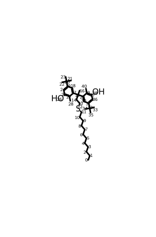 CCCCCCCCCCCCSCCC(C)(c1cc(C(C)(C)C)cc(O)c1C)c1cc(C(C)(C)C)cc(O)c1C